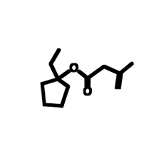 C=C(C)CC(=O)OC1(CC)CCCC1